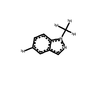 [2H]c1ccc2c(cnn2C([2H])([2H])[2H])c1